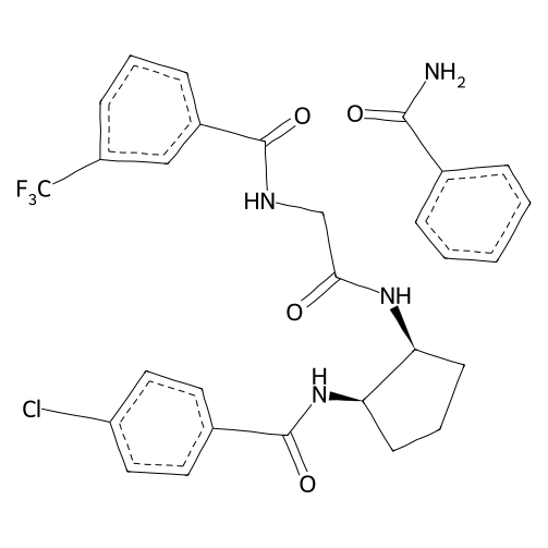 NC(=O)c1ccccc1.O=C(CNC(=O)c1cccc(C(F)(F)F)c1)N[C@H]1CCC[C@H]1NC(=O)c1ccc(Cl)cc1